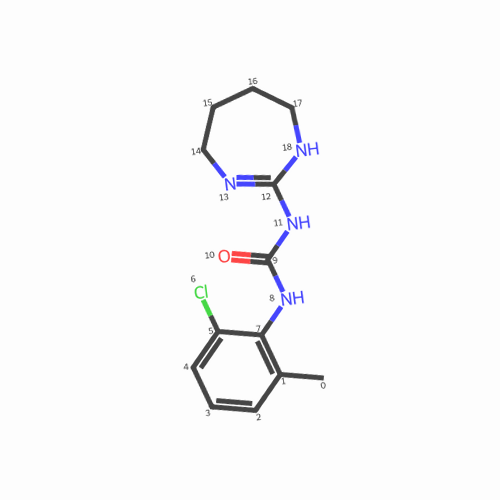 Cc1cccc(Cl)c1NC(=O)NC1=NCCCCN1